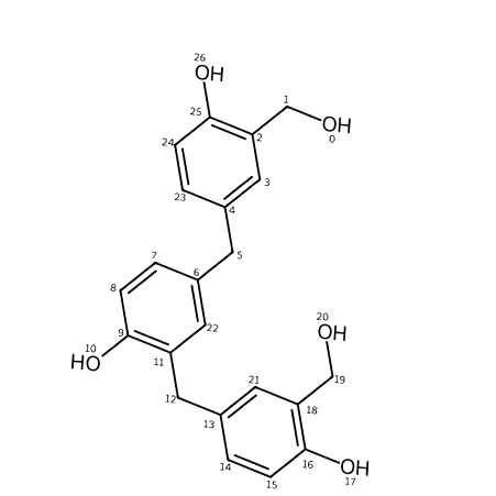 OCc1cc(Cc2ccc(O)c(Cc3ccc(O)c(CO)c3)c2)ccc1O